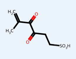 C=C(C)C(=O)C(=O)CCS(=O)(=O)O